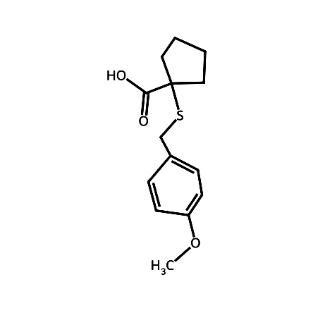 COc1ccc(CSC2(C(=O)O)CCCC2)cc1